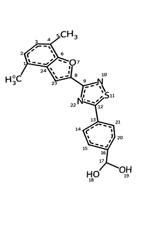 Cc1ccc(C)c2oc(-c3nsc(-c4ccc(C(O)O)cc4)n3)cc12